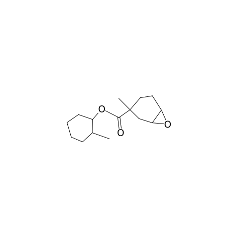 CC1CCCCC1OC(=O)C1(C)CCC2OC2C1